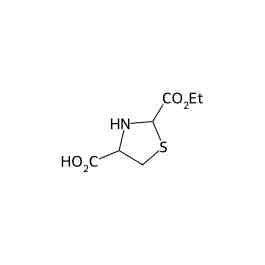 CCOC(=O)C1NC(C(=O)O)CS1